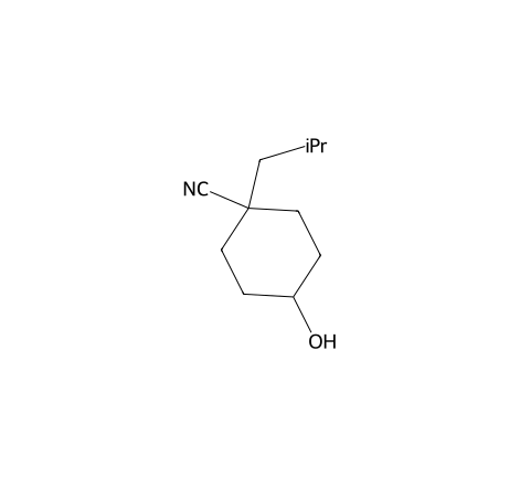 CC(C)CC1(C#N)CCC(O)CC1